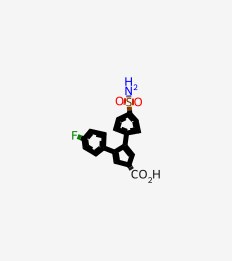 NS(=O)(=O)c1ccc(C2=CC(C(=O)O)C=C2c2ccc(F)cc2)cc1